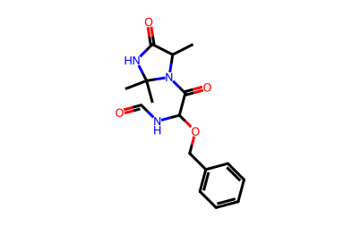 CC1C(=O)NC(C)(C)N1C(=O)C(NC=O)OCc1ccccc1